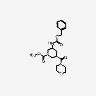 CC(C)(C)OC(=O)N1C[C@@H](NC(=O)OCc2ccccc2)C[C@@H](C(=O)N2CCOCC2)C1